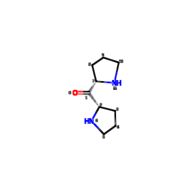 O=C([C@@H]1CCCN1)[C@@H]1CCCN1